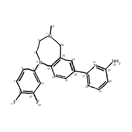 CN1CCN(c2ccc(F)c(F)c2)c2ccc(-c3cccc(N)n3)cc2C1